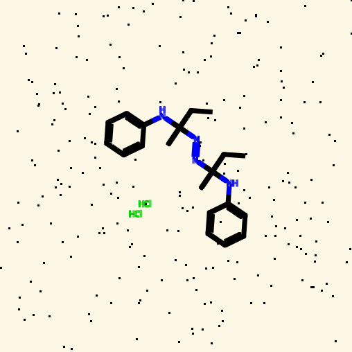 CCC(C)(N=NC(C)(CC)Nc1ccccc1)Nc1ccccc1.Cl.Cl